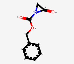 O=C1CN1C(=O)OCc1ccccc1